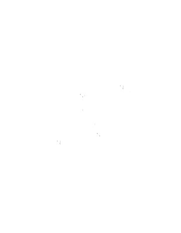 N#Cc1cc(N)ccc1S(=O)(=O)c1ccc(N)cc1C#N